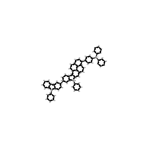 c1ccc(N(c2ccccc2)c2ccc(-c3ccc4ccc5c6c(ccc3c46)cc3c5c4ccc(-c5ccc6c(c5)c5ccccc5n6-c5ccccc5)cc4n3-c3ccccc3)cc2)cc1